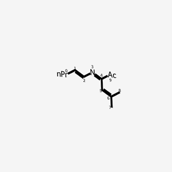 CCC/C=C/N=C(\C=C(C)C)C(C)=O